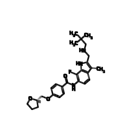 Cc1c(CNCC(C)(C)C)[nH]c2c(F)c(NC(=O)c3ccc(OC[C@@H]4CCCO4)cc3)ccc12